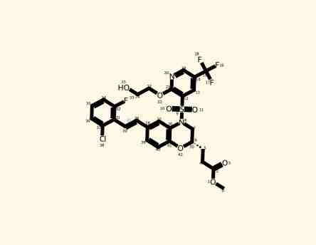 COC(=O)CC[C@H]1CN(S(=O)(=O)c2cc(C(F)(F)F)cnc2OCCO)c2cc(/C=C/c3c(F)cccc3Cl)ccc2O1